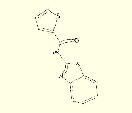 O=C(Nc1nc2ccccc2s1)c1cccs1